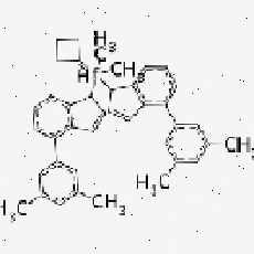 Cc1cc(C)cc(-c2cccc3c2C=C[CH]3[Hf]([CH3])([CH3])(=[C]2CCC2)[CH]2C=Cc3c(-c4cc(C)cc(C)c4)cccc32)c1